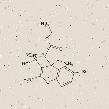 CCOC(=O)[C@@H](C#N)C1(CC)C(C(=O)O)=C(N)Oc2ccc(Br)cc21